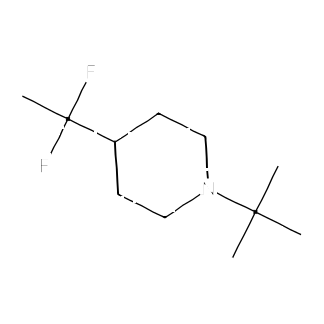 CC(F)(F)C1CCN(C(C)(C)C)CC1